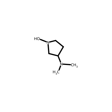 CN(C)C1CCN(O)C1